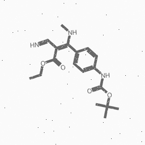 CCOC(=O)/C(C=N)=C(/NC)c1ccc(NC(=O)OC(C)(C)C)cc1